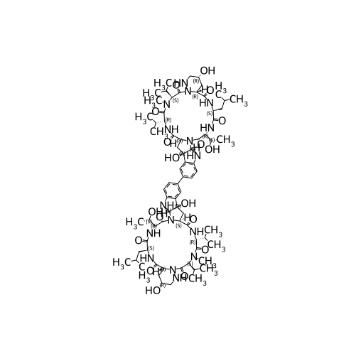 CC(C)C[C@@H]1NC(=O)[C@H]2C[C@@H](O)CNN2C(=O)[C@H](C(C)C)N(C)C(=O)[C@@H](C(C)C)NC(=O)[C@@H]2C[C@@]3(O)c4cc(-c5ccc6c(c5)[C@]5(O)C[C@H]7C(=O)N[C@H](C(C)C)C(=O)N(C)[C@@H](C(C)C)C(=O)N8NC[C@H](O)C[C@@H]8C(=O)N[C@@H](CC(C)C)C(=O)N[C@H]([C@H](C)O)C(=O)N7[C@@H]5N6)ccc4N[C@H]3N2C(=O)[C@@H]([C@H](C)O)NC1=O